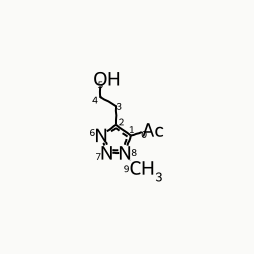 CC(=O)c1c(CCO)nnn1C